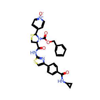 O=C(NC1CC1)c1ccc(-c2csc(NC(=O)C3CSC(c4cc[n+]([O-])cc4)N3C(=O)OCc3ccccc3)n2)cc1